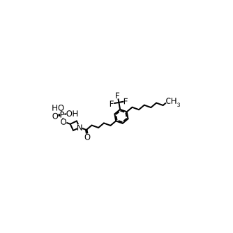 CCCCCCCc1ccc(CCCCC(=O)N2CC(OP(=O)(O)O)C2)cc1C(F)(F)F